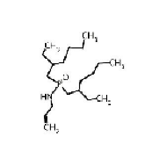 C=CCNP(=O)(CC(CC)CCCC)CC(CC)CCCC